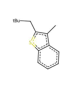 Cc1c(CC(C)(C)C)sc2ccccc12